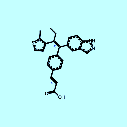 CC/C(=C(/c1ccc(/C=C/C(=O)O)cc1)c1ccc2[nH]ncc2c1)c1ccsc1C